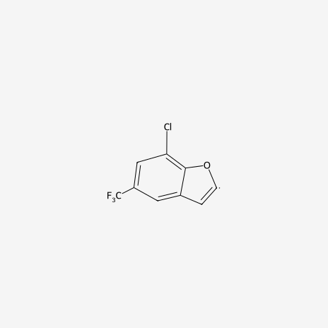 FC(F)(F)c1cc(Cl)c2o[c]cc2c1